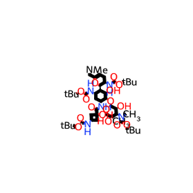 CNCC1=CC[C@@H](NC(=O)OC(C)(C)C)[C@@H](C2[C@@H](NC(=O)OC(C)(C)C)C[C@@H](NC(=O)C3(O)CC(NC(=O)OC(C)(C)C)C3)[C@H](O[C@H]3OC[C@](C)(O)[C@H](N(C)C(=O)OC(C)(C)C)[C@H]3O)[C@H]2O)O1